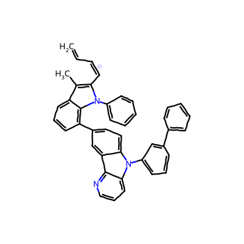 C=C/C=C\c1c(C)c2cccc(-c3ccc4c(c3)c3ncccc3n4-c3cccc(-c4ccccc4)c3)c2n1-c1ccccc1